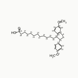 COc1ccc(C2CCc3cc(OC)ccc3C2CCCCCCCCCCCC(=O)O)cc1